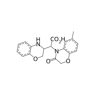 Cc1ccc2c(c1)N(C(C(=O)O)C1COc3ccccc3N1)C(=O)CO2